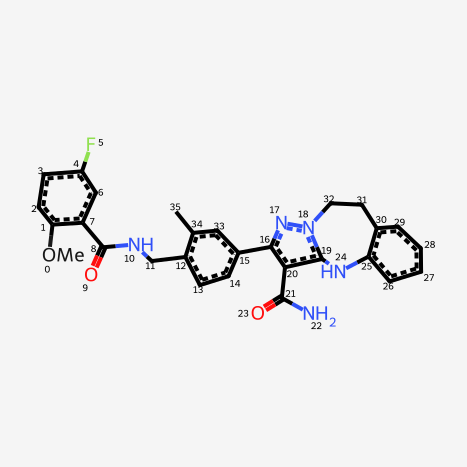 COc1ccc(F)cc1C(=O)NCc1ccc(-c2nn3c(c2C(N)=O)Nc2ccccc2CC3)cc1C